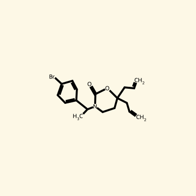 C=CCC1(CC=C)CCN(C(C)c2ccc(Br)cc2)C(=O)O1